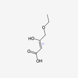 CCOC/C(O)=C/C(=O)O